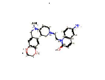 BN(Cc1ccc2c(c1)OCCO2)C1CCN(CCn2c(=O)ccc3cc(N)ccc32)CC1